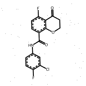 O=C(Nc1ccc(F)c(Cl)c1)c1ccc(F)c2c1OCCC2=O